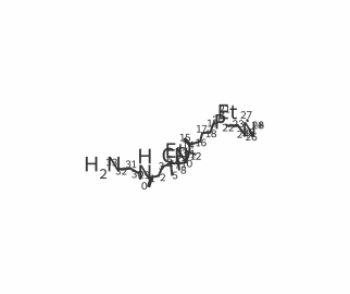 C=C(CCC(C)(C#N)C(C)(C)CC(C)(CC)C(=C)CCCCP(CC)CCC[N+](C)(C)C)NCCCN